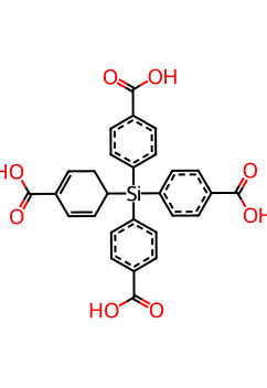 O=C(O)C1=CCC([Si](c2ccc(C(=O)O)cc2)(c2ccc(C(=O)O)cc2)c2ccc(C(=O)O)cc2)C=C1